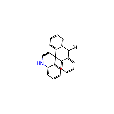 [2H]C1c2ccccc2C2(c3ccccc3Nc3ccccc32)c2ccccc21